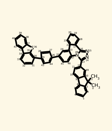 CC1(C)c2ccccc2-c2ccc(-c3nnc4c5ccccc5c5cc(-c6ccc(-c7cccc8c7sc7ccccc78)cc6)ccc5n34)cc21